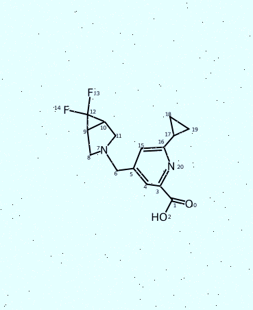 O=C(O)c1cc(CN2CC3C(C2)C3(F)F)cc(C2CC2)n1